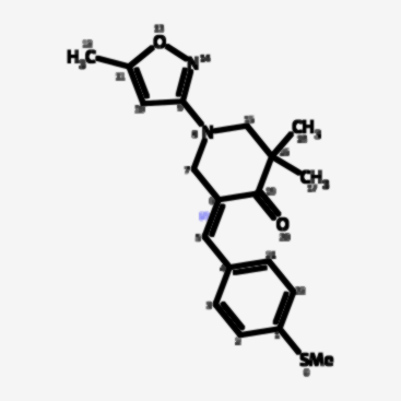 CSc1ccc(/C=C2/CN(c3cc(C)on3)CC(C)(C)C2=O)cc1